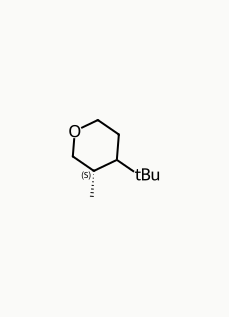 C[C@@H]1COCCC1C(C)(C)C